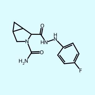 NC(=O)N1CC2CC2C1C(=O)NNc1ccc(F)cc1